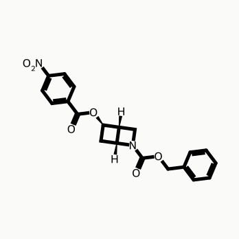 O=C(O[C@@H]1C[C@@H]2[C@H]1CN2C(=O)OCc1ccccc1)c1ccc([N+](=O)[O-])cc1